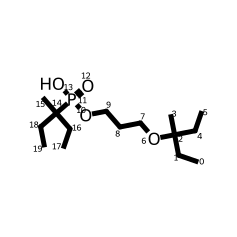 CCC(C)(CC)OCCCOP(=O)(O)C(C)(CC)CC